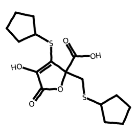 O=C1OC(CSC2CCCC2)(C(=O)O)C(SC2CCCC2)=C1O